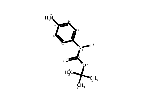 CC(C)(C)OC(=O)N(I)c1ccc(N)cc1